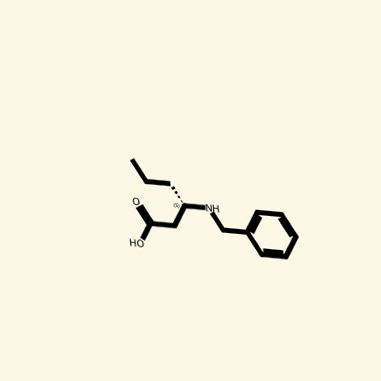 CCC[C@@H](CC(=O)O)NCc1ccccc1